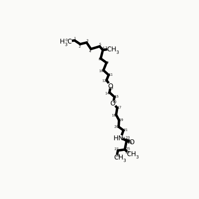 CCCCCCC(C)CCCCCOCCOCCCCCNC(=O)C(C)CC